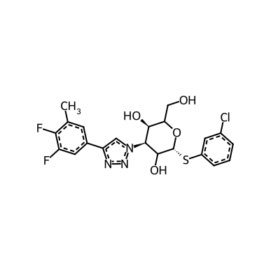 Cc1cc(-c2cn([C@@H]3C(O)[C@@H](Sc4cccc(Cl)c4)OC(CO)[C@@H]3O)nn2)cc(F)c1F